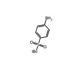 Bc1ccc(S(=O)(=O)C(C)CC)cc1